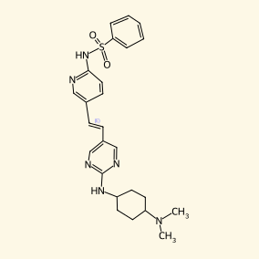 CN(C)C1CCC(Nc2ncc(/C=C/c3ccc(NS(=O)(=O)c4ccccc4)nc3)cn2)CC1